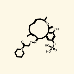 C/C1=C\C(=N/OCC(=O)N2CCCCC2)Cc2cc(OP(=O)(O)O)cc(O)c2C(=O)OC(C)C/C=C/CC1